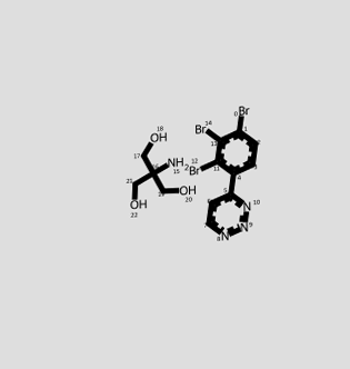 Brc1ccc(-c2ccnnn2)c(Br)c1Br.NC(CO)(CO)CO